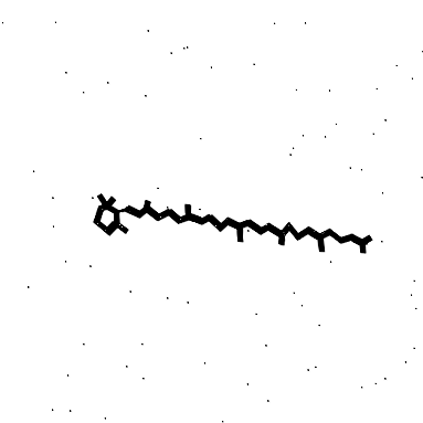 CC(C)=CCC/C(C)=C/CC/C(C)=C/C=C/C(C)=C/C=C/C=C(C)/C=C/C=C(C)/C=C/[C@H]1C(C)=CCCC1(C)C